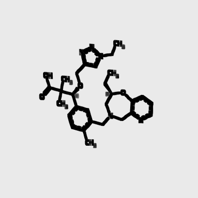 CC[C@@H]1CN(Cc2cc([C@H](OCc3cn(CC)nn3)C(C)(C)C(=O)O)ccc2C)Cc2ncccc2O1